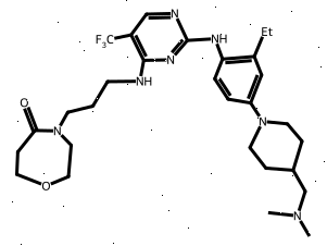 CCc1cc(N2CCC(CN(C)C)CC2)ccc1Nc1ncc(C(F)(F)F)c(NCCCN2CCOCCC2=O)n1